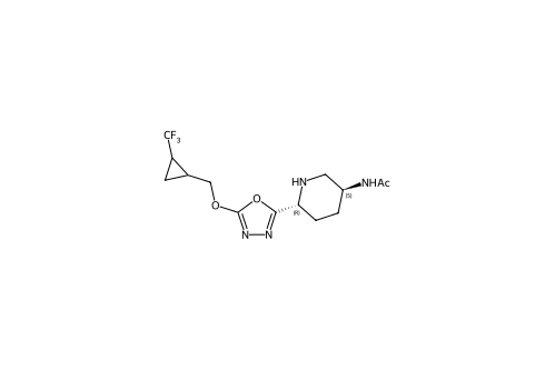 CC(=O)N[C@H]1CC[C@H](c2nnc(OCC3CC3C(F)(F)F)o2)NC1